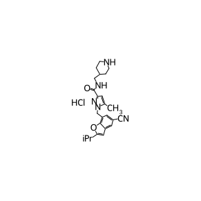 Cc1cc(C(=O)NCC2CCNCC2)nn1Cc1cc(C#N)cc2cc(C(C)C)oc12.Cl